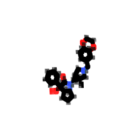 O=C(N[C@@H]1C2CN(Cc3ccc4c(c3)OCCO4)C[C@H]21)C(O)(c1ccccc1)C1CCCC1